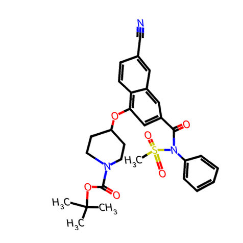 CC(C)(C)OC(=O)N1CCC(Oc2cc(C(=O)N(c3ccccc3)S(C)(=O)=O)cc3cc(C#N)ccc23)CC1